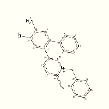 Nc1nc(-c2ccccc2)c(-c2ccc(=O)n(Cc3ccccc3)n2)cc1Cl